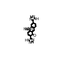 O=c1c2cc3ccc(-c4nnn[nH]4)cc3[nH]c-2ccc1-c1nnn[nH]1.[NaH].[NaH]